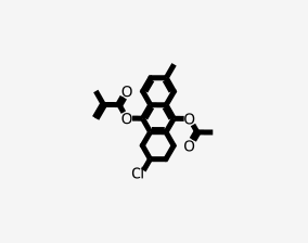 C=C(C)C(=O)Oc1c2c(c(OC(C)=O)c3cc(C)ccc13)CCC(Cl)C2